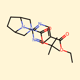 CCOC(=O)c1cnc(N2C3CCC2CN(C(=O)OC(C)(C)C)C3)nc1